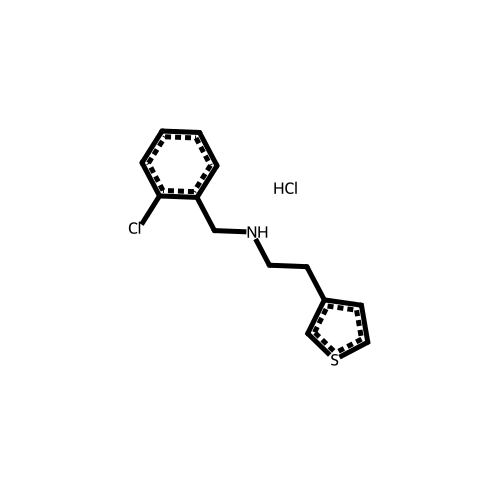 Cl.Clc1ccccc1CNCCc1ccsc1